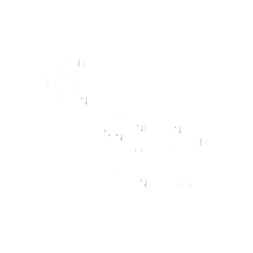 COc1cnc(Cl)cc1-c1cc(C)ncc1C(=O)Nc1nnc(C2CN(C(=O)OC(C)(C)C)C2)s1